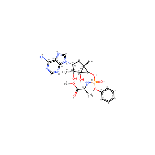 CC(C)OC(=O)[C@H](C)N[P@@](=O)(Oc1ccccc1)OC1[C@H]2C[C@@H](n3cnc4c(N)ncnc43)[C@](C)(O)[C@@]12O